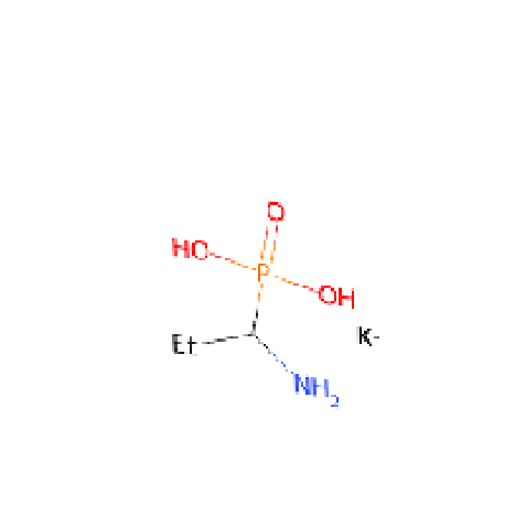 CCC(N)P(=O)(O)O.[K]